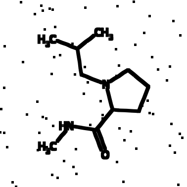 CNC(=O)C1CCCN1CC(C)C